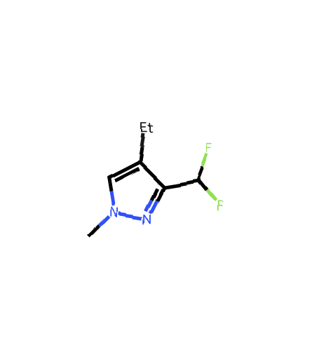 CCc1cn(C)nc1C(F)F